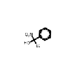 CCC(O)(c1ccccc1)[N+](=O)[O-]